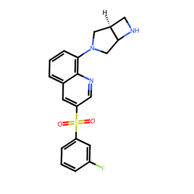 O=S(=O)(c1cccc(F)c1)c1cnc2c(N3CC4NC[C@@H]4C3)cccc2c1